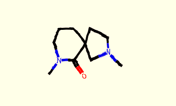 CN1CCC2(CCCN(C)C2=O)C1